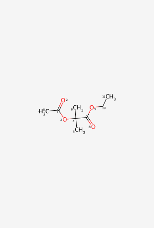 [CH2]C(=O)OC(C)(C)C(=O)OCC